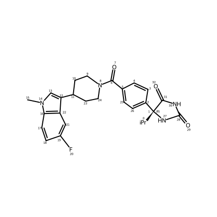 CC(C)[C@]1(c2ccc(C(=O)N3CCC(c4cn(C)c5ccc(F)cc45)CC3)cc2)NC(=O)NC1=O